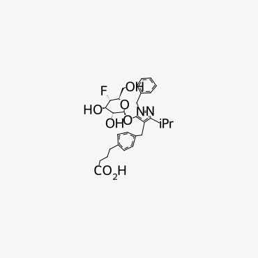 CC(C)c1nn(Cc2ccccc2)c(O[C@@H]2O[C@H](CO)[C@@H](F)[C@H](O)[C@H]2O)c1Cc1ccc(CCCC(=O)O)cc1